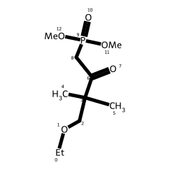 CCOCC(C)(C)C(=O)CP(=O)(OC)OC